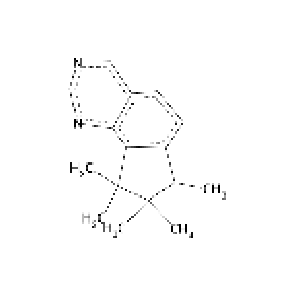 CC1c2ccc3cncnc3c2C(C)(C)C1(C)C